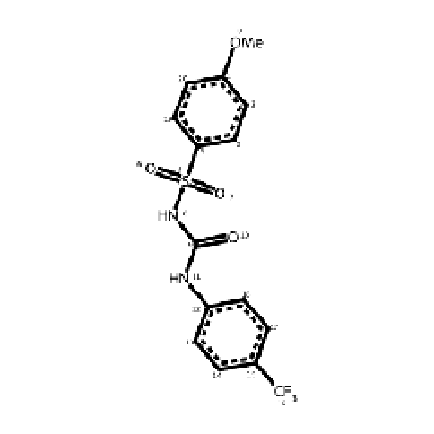 COc1ccc(S(=O)(=O)NC(=O)Nc2ccc(C(F)(F)F)cc2)cc1